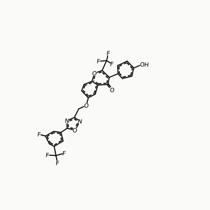 O=c1c(-c2ccc(O)cc2)c(C(F)(F)F)oc2ccc(OCc3noc(-c4cc(F)cc(C(F)(F)F)c4)n3)cc12